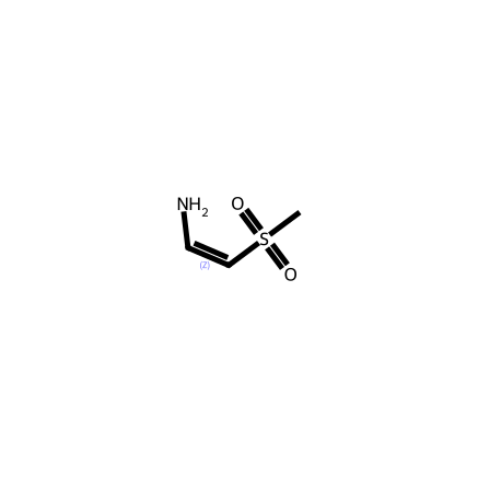 CS(=O)(=O)/C=C\N